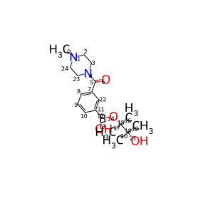 CN1CCN(C(=O)c2cccc(B(O)OC(C)(C)C(C)(C)O)c2)CC1